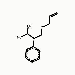 C=CCOCC(c1ccccc1)C(C#N)C#N